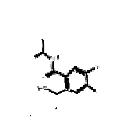 CC(C)NC(=O)c1cc(Br)c(F)cc1CO